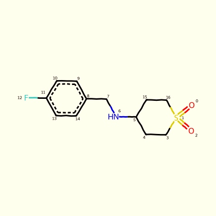 O=S1(=O)CCC(NCc2ccc(F)cc2)CC1